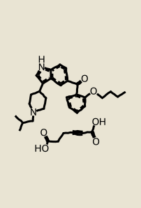 CCCCOc1ccccc1C(=O)c1ccc2[nH]cc(C3CCN(CC(C)C)CC3)c2c1.O=C(O)C#CCCC(=O)O